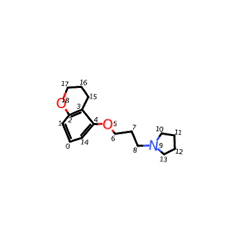 c1cc2c(c(OCCCN3CCCC3)c1)CCCO2